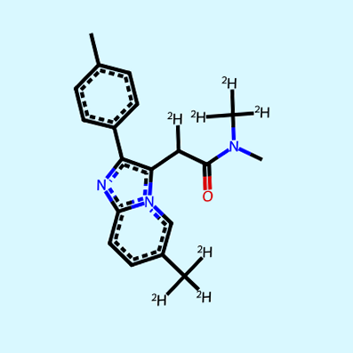 [2H]C(C(=O)N(C)C([2H])([2H])[2H])c1c(-c2ccc(C)cc2)nc2ccc(C([2H])([2H])[2H])cn12